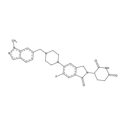 Cn1ncc2ccc(CN3CCN(c4cc5c(cc4F)C(=O)N(C4CCC(=O)NC4=O)C5)CC3)cc21